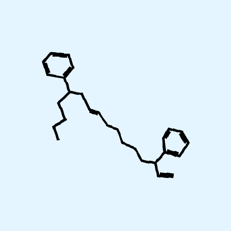 C=CC(CCCCCC=CCC(CCCC)c1ccccc1)c1ccccc1